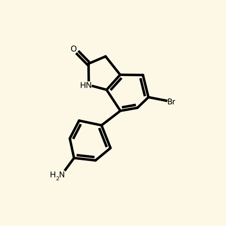 Nc1ccc(-c2cc(Br)cc3c2NC(=O)C3)cc1